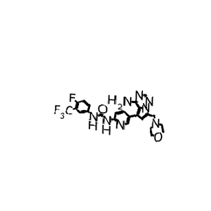 Nc1ncnn2c(CN3CCOCC3)cc(-c3ccc(NC(=O)Nc4ccc(F)c(C(F)(F)F)c4)nc3)c12